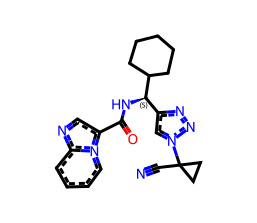 N#CC1(n2cc([C@@H](NC(=O)c3cnc4ccccn34)C3CCCCC3)nn2)CC1